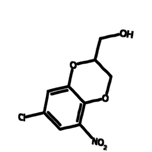 O=[N+]([O-])c1cc(Cl)cc2c1OCC(CO)O2